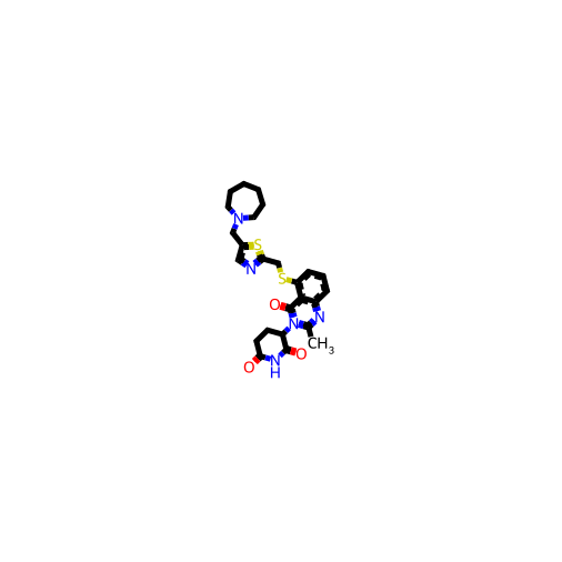 Cc1nc2cccc(SCc3ncc(CN4CCCCCC4)s3)c2c(=O)n1C1CCC(=O)NC1=O